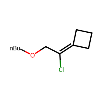 CCCCOCC(Cl)=C1CCC1